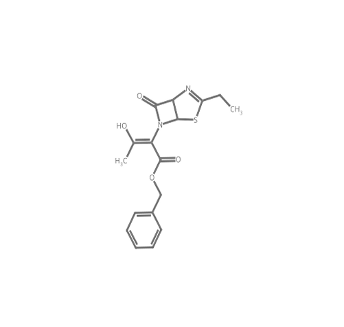 CCC1=NC2C(=O)N(C(C(=O)OCc3ccccc3)=C(C)O)C2S1